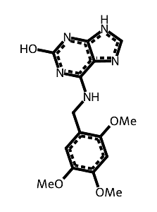 COc1cc(OC)c(OC)cc1CNc1nc(O)nc2[nH]cnc12